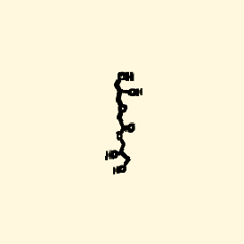 O=C(COCC(O)CO)OCC(O)CO